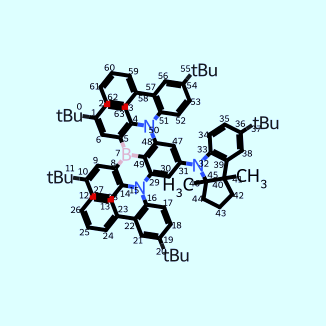 CC(C)(C)c1ccc2c(c1)B1c3cc(C(C)(C)C)ccc3N(c3ccc(C(C)(C)C)cc3-c3ccccc3)c3cc(N4c5ccc(C(C)(C)C)cc5C5(C)CCCC45C)cc(c31)N2c1ccc(C(C)(C)C)cc1-c1ccccc1